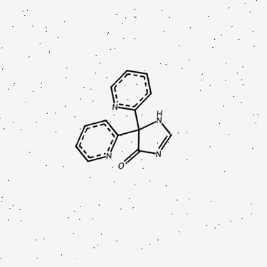 O=C1N=CNC1(c1ccccn1)c1ccccn1